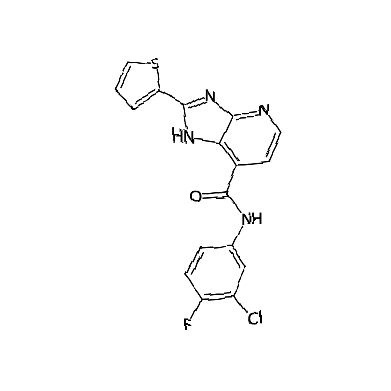 O=C(Nc1ccc(F)c(Cl)c1)c1ccnc2nc(-c3cccs3)[nH]c12